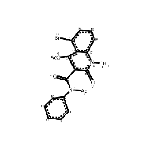 CC(=O)Oc1c(C(=O)N(C(C)=O)c2ccccc2)c(=O)n(C)c2cccc(Br)c12